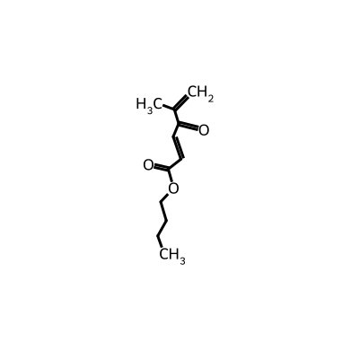 C=C(C)C(=O)C=CC(=O)OCCCC